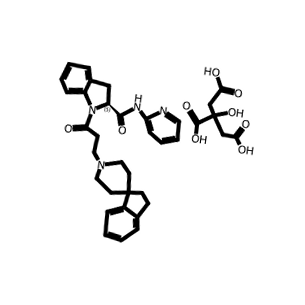 O=C(Nc1ccccn1)[C@@H]1Cc2ccccc2N1C(=O)CCN1CCC2(CCc3ccccc32)CC1.O=C(O)CC(O)(CC(=O)O)C(=O)O